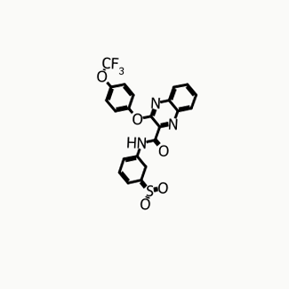 O=C(NC1=CC=CC(=S(=O)=O)C1)c1nc2ccccc2nc1Oc1ccc(OC(F)(F)F)cc1